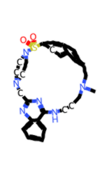 CN1CCCNc2nc(nc3ccccc23)CN2CCN(CC2)S(=O)(=O)C2C=c3ccc(cc3=CC2)C1